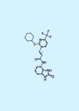 O=C(/C=C/c1ccc(C(F)(F)F)nc1SC1CCCCC1)Nc1cccc2[nH]c(=O)[nH]c12